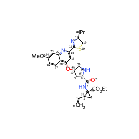 C=C[C@@H]1C[C@]1(NC(=O)[C@@H]1C[C@@H](Oc2cc(C3=NC(C(C)C)CS3)nc3cc(OC)ccc23)CN1)C(=O)OCC